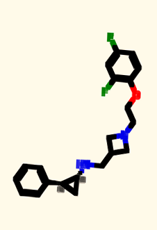 Fc1ccc(OCCN2CC(CN[C@@H]3C[C@H]3c3ccccc3)C2)c(F)c1